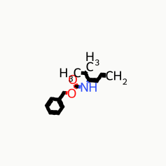 C=C/C=C(/NC(=O)OCc1ccccc1)C(C)C